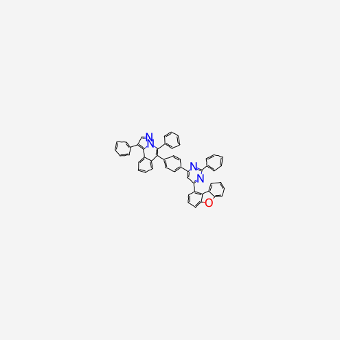 c1ccc(-c2nc(-c3ccc(-c4c(-c5ccccc5)n5ncc(-c6ccccc6)c5c5ccccc45)cc3)cc(-c3cccc4oc5ccccc5c34)n2)cc1